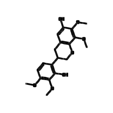 COc1ccc(C2COc3c(cc(O)c(OC)c3OC)C2)c(O)c1OC